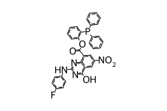 O=C(Oc1ccccc1P(c1ccccc1)c1ccccc1)c1cc([N+](=O)[O-])cc2c(O)nc(Nc3ccc(F)cc3)nc12